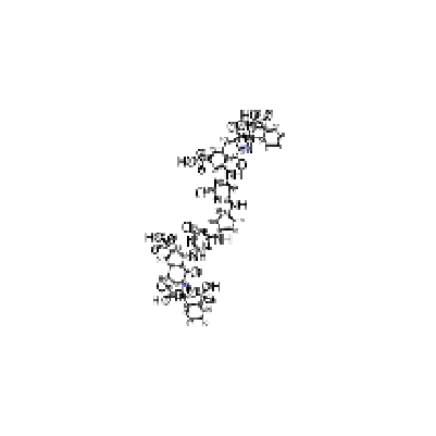 O=C1/C(=N/Nc2ccccc2S(=O)(=O)O)C(S(=O)(=O)O)=Cc2cc(S(=O)(=O)O)cc(Nc3nc(Cl)nc(Nc4ccc(Nc5nc(Cl)nc(Nc6cc(S(=O)(=O)O)cc7c6C(=O)/C(=N/Nc6ccccc6S(=O)(=O)O)C(S(=O)(=O)O)=C7)n5)cc4)n3)c21